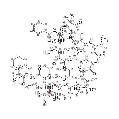 Cc1ccc(C[C@H](NC(=O)[C@H](C)NC(=O)CN2CCOCC2)C(=O)N[C@@H](CC2=CCCC2Oc2cc(C[C@H](NC(=O)[C@H](C)NC(=O)CN3CCOCC3)C(=O)N[C@@H](CC3=CCCCC3)C(=O)[C@@]3(C)CO3)ccc2C)C(=O)[C@@]2(C)CO2)cc1OC1CCC=C1C[C@H](NC(=O)[C@H](CCc1ccccc1)NC(=O)[C@H](C)NC(=O)CN1CCOCC1)C(=O)[C@@]1(C)CO1